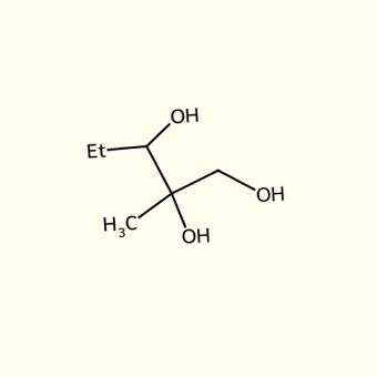 [CH2]CC(O)C(C)(O)CO